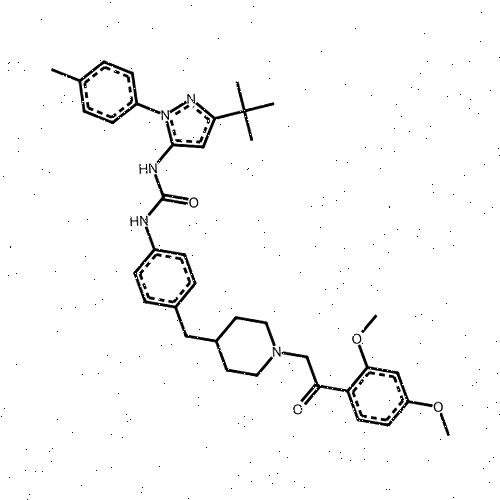 COc1ccc(C(=O)CN2CCC(Cc3ccc(NC(=O)Nc4cc(C(C)(C)C)nn4-c4ccc(C)cc4)cc3)CC2)c(OC)c1